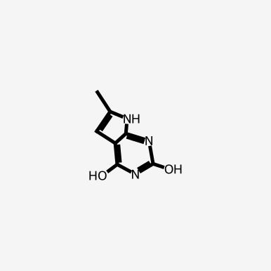 Cc1cc2c(O)nc(O)nc2[nH]1